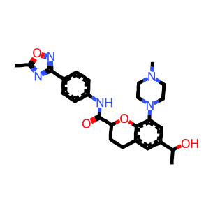 Cc1nc(-c2ccc(NC(=O)C3CCc4cc(C(C)O)cc(N5CCN(C)CC5)c4O3)cc2)no1